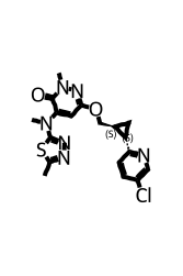 Cc1nnc(N(C)c2cc(OC[C@H]3C[C@@H]3c3ccc(Cl)cn3)nn(C)c2=O)s1